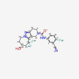 N#Cc1cc(NC(=O)N2CCc3nn4c(c3C2)C(F)(F)C[C@H](O)CC4)ccc1F